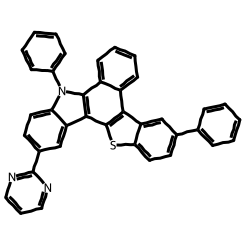 c1ccc(-c2ccc3sc4c(c3c2)c2ccccc2c2c4c3cc(-c4ncccn4)ccc3n2-c2ccccc2)cc1